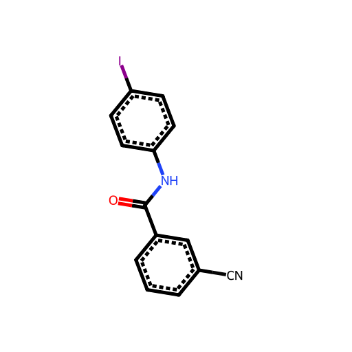 N#Cc1cccc(C(=O)Nc2ccc(I)cc2)c1